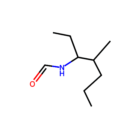 CCCC(C)C(CC)NC=O